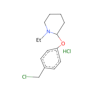 CCN1CCCCC1Oc1ccc(CCl)cc1.Cl